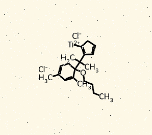 CCCCOC1(C(C)(C)C2=[C]([Ti+2])CC=C2)CC=C(C)C=C1C.[Cl-].[Cl-]